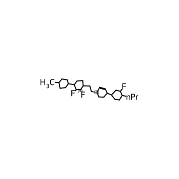 CCCC1CCC(C2C=C[C@H](CCC3CCC(C4CCC(C)CC4)C(F)[C@H]3F)CC2)CC1F